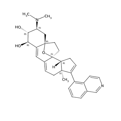 CN(C)[C@H]1C[C@@]23CC[C@@]4(O2)C(=CC[C@]2(C)C(c5cccc6cnccc56)=CC[C@H]24)C=C3[C@@H](O)[C@@H]1O